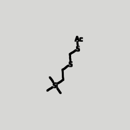 CC(=O)SCSCC[Si](C)(C)C